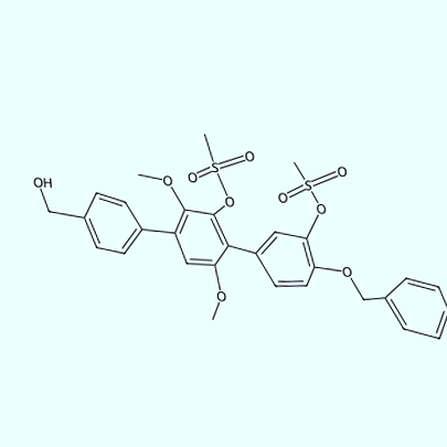 COc1cc(-c2ccc(CO)cc2)c(OC)c(OS(C)(=O)=O)c1-c1ccc(OCc2ccccc2)c(OS(C)(=O)=O)c1